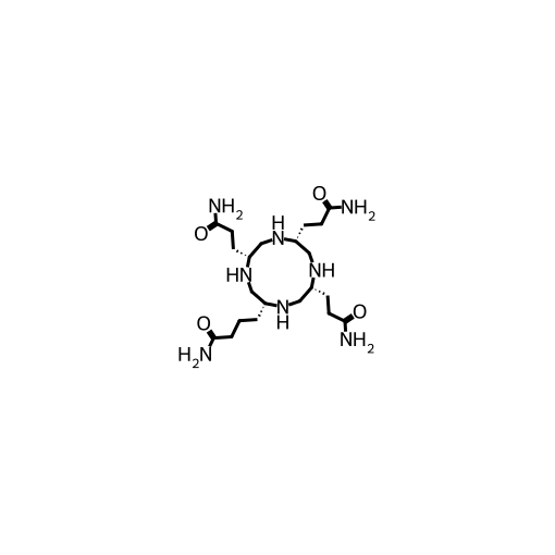 NC(=O)CCC[C@@H]1CN[C@H](CCC(N)=O)CN[C@H](CCC(N)=O)CN[C@H](CCC(N)=O)CN1